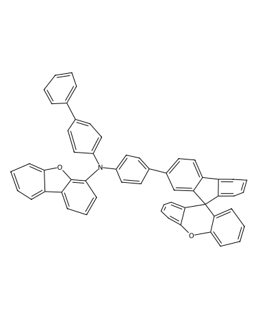 c1ccc(-c2ccc(N(c3ccc(-c4ccc5c(c4)C4(c6ccccc6Oc6ccccc64)c4ccccc4-5)cc3)c3cccc4c3oc3ccccc34)cc2)cc1